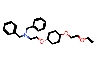 C=COCCO[C@H]1CC[C@H](OCCN(Cc2ccccc2)Cc2ccccc2)CC1